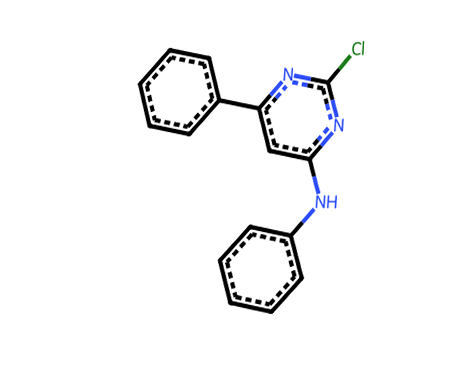 Clc1nc(Nc2ccccc2)cc(-c2ccccc2)n1